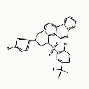 O=S(=O)(c1cc(C(F)(F)F)ccc1Br)C1CC(c2ccc(Cl)cc2)Cc2ccc3c(ccc4ccccc43)c21